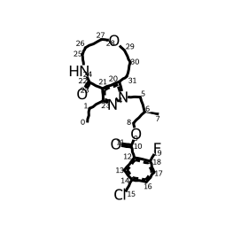 CCc1nn(C[C@@H](C)COC(=O)c2cc(Cl)ccc2F)c2c1C(=O)NCCCOCCC2